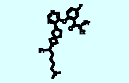 CCN(C(=O)c1cc(F)ccc1Oc1nncnc1N1CCC2(C1)CN(C(CCCCN(C)C)C(C)C)C2)C(C)C